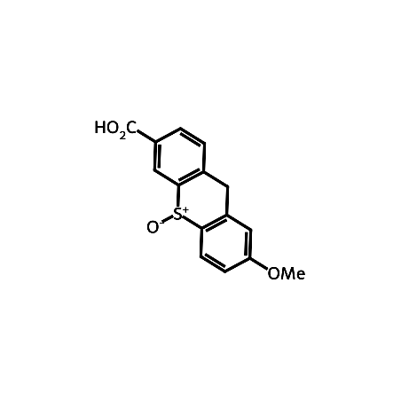 COc1ccc2c(c1)Cc1ccc(C(=O)O)cc1[S+]2[O-]